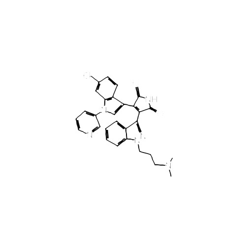 CN(C)CCCn1nc(C2=C(c3cn(-c4cccnc4)c4cc(Cl)ccc34)C(=O)NC2=O)c2ccccc21